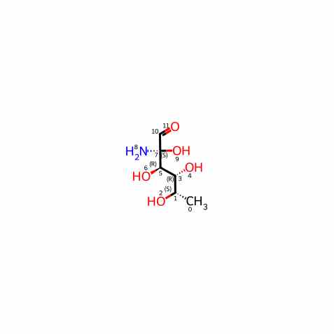 C[C@H](O)[C@@H](O)[C@@H](O)[C@](N)(O)C=O